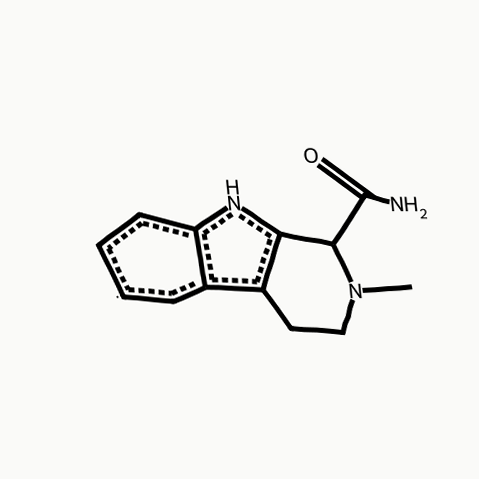 CN1CCc2c([nH]c3cc[c]cc23)C1C(N)=O